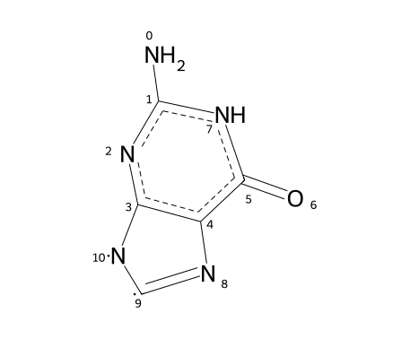 Nc1nc2c(c(=O)[nH]1)N=[C][N]2